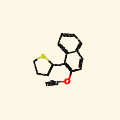 CCCCOc1ccc2ccccc2c1C1CCCS1